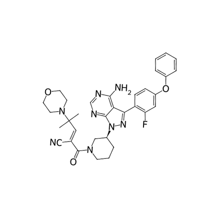 CC(C)(C=C(C#N)C(=O)N1CCC[C@H](n2nc(-c3ccc(Oc4ccccc4)cc3F)c3c(N)ncnc32)C1)N1CCOCC1